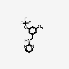 COc1cc(CNc2nc[c]cn2)cc(OC(F)(F)F)c1